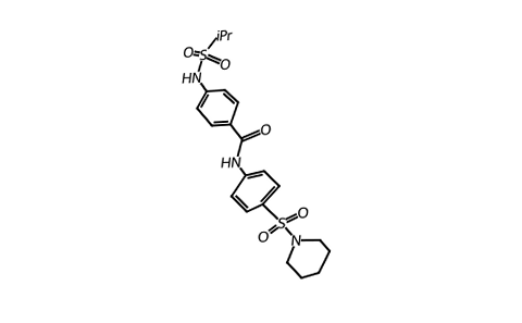 CC(C)S(=O)(=O)Nc1ccc(C(=O)Nc2ccc(S(=O)(=O)N3CCCCC3)cc2)cc1